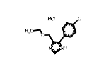 CCOCc1nc[nH]c1-c1ccc(Cl)cc1.Cl